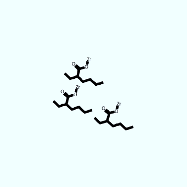 CCCCC(CC)C(=O)[O][Zr].CCCCC(CC)C(=O)[O][Zr].CCCCC(CC)C(=O)[O][Zr]